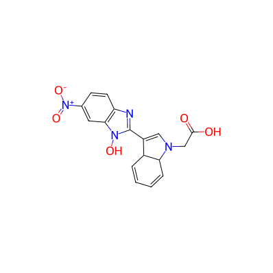 O=C(O)CN1C=C(c2nc3ccc([N+](=O)[O-])cc3n2O)C2C=CC=CC21